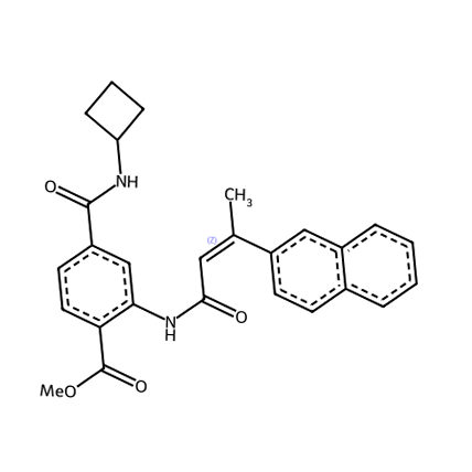 COC(=O)c1ccc(C(=O)NC2CCC2)cc1NC(=O)/C=C(/C)c1ccc2ccccc2c1